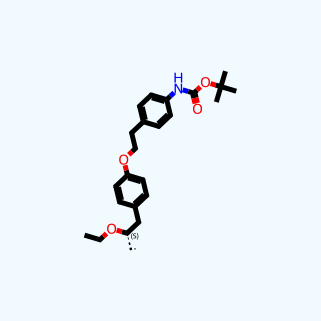 [CH2][C@@H](Cc1ccc(OCCc2ccc(NC(=O)OC(C)(C)C)cc2)cc1)OCC